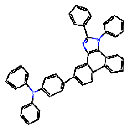 c1ccc(-c2nc3c4cc(-c5ccc(N(c6ccccc6)c6ccccc6)cc5)ccc4c4ccccc4c3n2-c2ccccc2)cc1